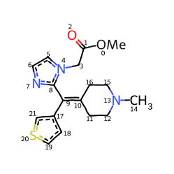 COC(=O)Cn1ccnc1C(=C1CCN(C)CC1)c1ccsc1